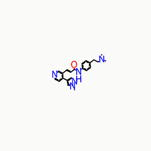 CN(C)CCc1ccc(NC(=O)C=Cc2cnccc2-c2cnn(C)c2)cc1